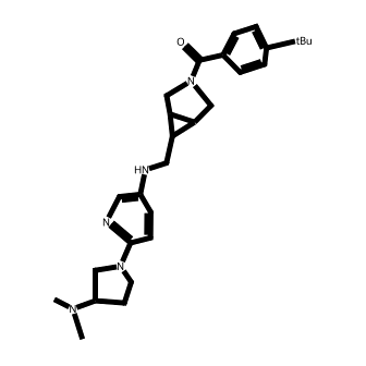 CN(C)C1CCN(c2ccc(NCC3C4CN(C(=O)c5ccc(C(C)(C)C)cc5)CC34)cn2)C1